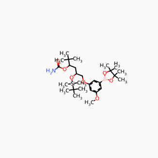 COc1cc(OCC(CC(OC(N)=O)C(C)(C)C)O[Si](C)(C)C(C)(C)C)cc(B2OC(C)(C)C(C)(C)O2)c1